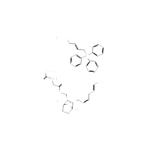 CCCCCC(=O)NCC(=O)NC[C@H]1[C@@H](C/C=C\C/C=C/C(=O)O)[C@H]2CC[C@@H]1O2.O=C(O)CC=CC[PH](c1ccccc1)(c1ccccc1)c1ccccc1